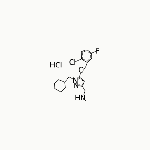 CNCc1cc(OCc2cc(F)ccc2Cl)n(CC2CCCCC2)n1.Cl